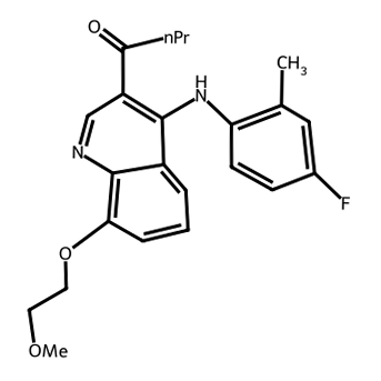 CCCC(=O)c1cnc2c(OCCOC)cccc2c1Nc1ccc(F)cc1C